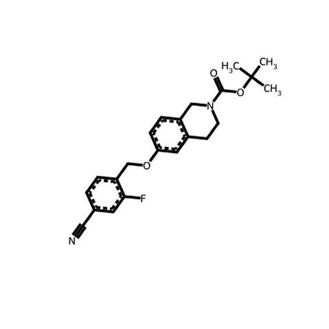 CC(C)(C)OC(=O)N1CCc2cc(OCc3ccc(C#N)cc3F)ccc2C1